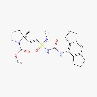 CC(C)(C)N=S(=O)(/C=C/[C@@]1(C)CCCN1C(=O)OC(C)(C)C)NC(=O)Nc1c2c(cc3c1CCC3)CCC2